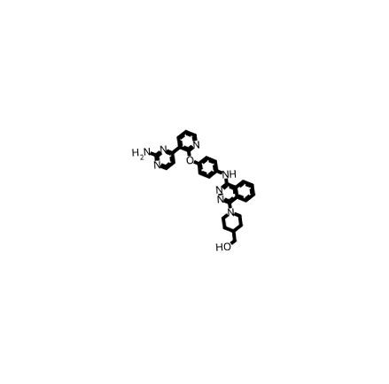 Nc1nccc(-c2cccnc2Oc2ccc(Nc3nnc(N4CCC(CO)CC4)c4ccccc34)cc2)n1